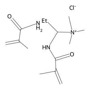 C=C(C)C(=O)NC(CC)[N+](C)(C)C.C=C(C)C(N)=O.[Cl-]